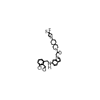 O=Cc1c(Cl)cccc1CNc1ccc2ccn(CC(=O)N3CCC4(CCC(N5CC(F)(F)C5)CC4)CC3)c2c1